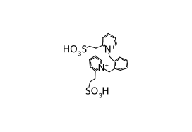 O=S(=O)(O)CCc1cccc[n+]1Cc1ccccc1C[n+]1ccccc1CCS(=O)(=O)O